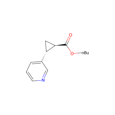 CCCCOC(=O)[C@@H]1C[C@H]1c1cccnc1